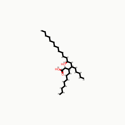 CCCCCCCCCCCCC(O)CC(CCCCC)C(CCCCCCCC)CC(=O)O